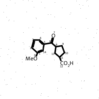 COc1cccc(C(=O)C2CCC(C(=O)O)C2)c1